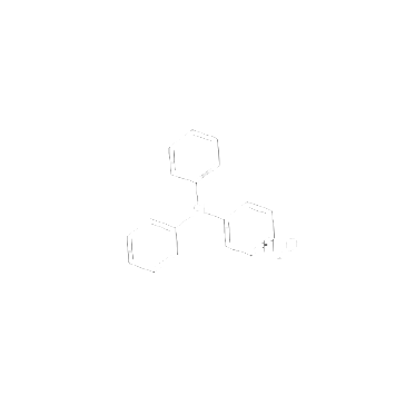 O.c1ccc([Si](c2ccccc2)c2ccccc2)cc1